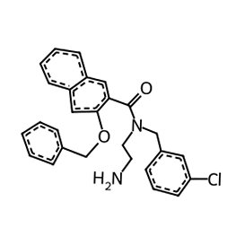 NCCN(Cc1cccc(Cl)c1)C(=O)c1cc2ccccc2cc1OCc1ccccc1